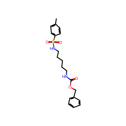 Cc1ccc(S(=O)(=O)NCCCCCNC(=O)OCc2ccccc2)cc1